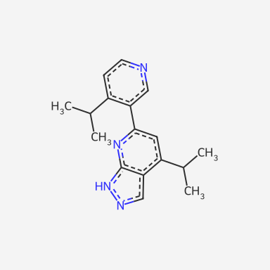 CC(C)c1ccncc1-c1cc(C(C)C)c2cn[nH]c2n1